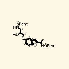 CCCCC/N=C(\C)c1cc2cc(OCC(O)CNCCCCC)ccc2o1